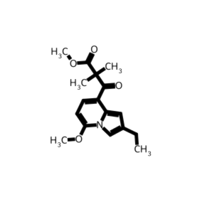 CCc1cc2c(C(=O)C(C)(C)C(=O)OC)ccc(OC)n2c1